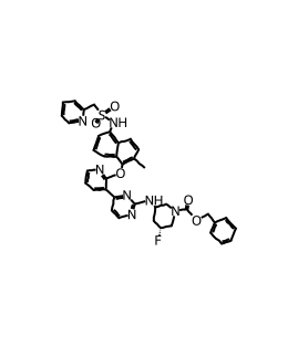 Cc1ccc2c(NS(=O)(=O)Cc3ccccn3)cccc2c1Oc1ncccc1-c1ccnc(N[C@H]2C[C@@H](F)CN(C(=O)OCc3ccccc3)C2)n1